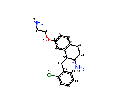 NCCOc1ccc2c(c1)C(Cc1ccccc1Cl)C(N)CC2